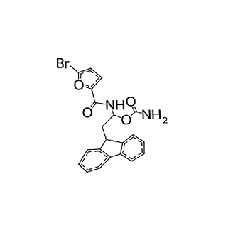 NC(=O)OC(CC1c2ccccc2-c2ccccc21)NC(=O)c1ccc(Br)o1